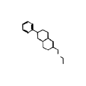 CCOCC1CCC2CC(c3ccccc3)CCC2C1